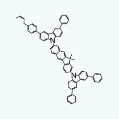 C/C=C\Cc1ccc(-c2ccc3c(c2)c2cc(-c4ccccc4)ccc2n3-c2ccc3cc4c(cc3c2)C(C)(C)c2cc(-n3c5ccc(-c6ccccc6)cc5c5cc(-c6ccccc6)ccc53)ccc2-4)cc1